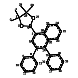 CC1(C)OB(c2cc(-c3ccccc3)c(-c3ccccc3)c3ccccc23)OC1(C)C